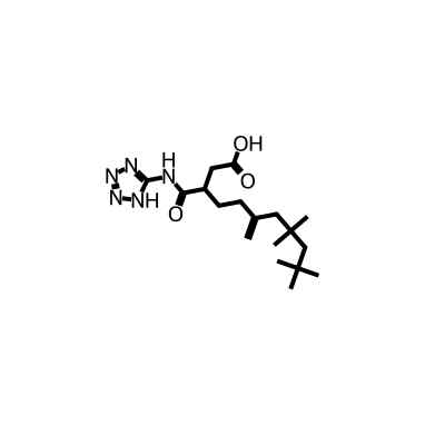 C=C(CCC(CC(=O)O)C(=O)Nc1nnn[nH]1)CC(C)(C)CC(C)(C)C